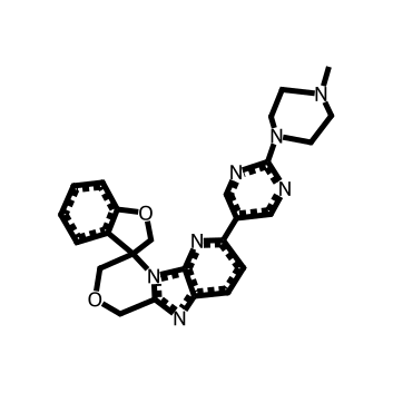 CN1CCN(c2ncc(-c3ccc4nc5n(c4n3)C3(COC5)COc4ccccc43)cn2)CC1